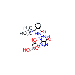 CN(Cc1ccccc1C(=O)Nc1nc2c(ncn2[C@@H]2O[C@H](CO)C[C@H]2O)c(=O)[nH]1)C(=O)O